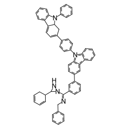 C1=CCC(C2NN2/C(=N\Cc2ccccc2)c2cccc(-c3ccc4c(c3)c3ccccc3n4-c3ccc(C4=CC=C5c6ccccc6N(c6ccccc6)C5C4)cc3)c2)C=C1